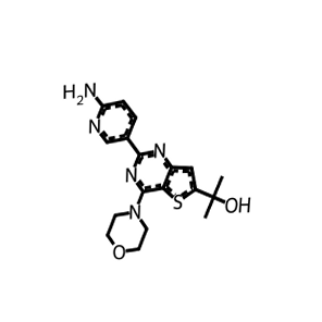 CC(C)(O)c1cc2nc(-c3ccc(N)nc3)nc(N3CCOCC3)c2s1